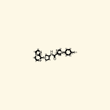 O=C(NC1CCN(c2nccn3ccnc23)C1)c1ncn(-c2ccc(I)cc2)n1